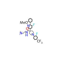 COc1ccccc1-c1ncc(C2(C(=O)NCCN(C)C)CCN(c3ccc(C(F)(F)F)cc3F)CC2)cc1F